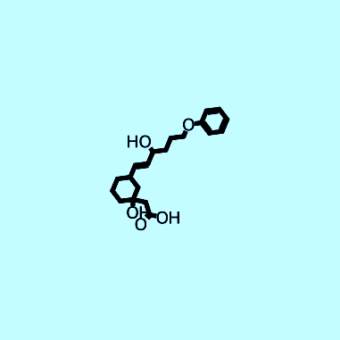 O=C(O)CC1(O)CCCC(C=CC(O)CCCOc2ccccc2)C1